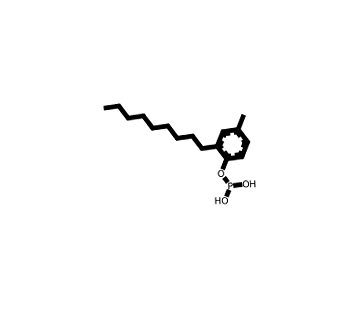 CCCCCCCCCc1cc(C)ccc1OP(O)O